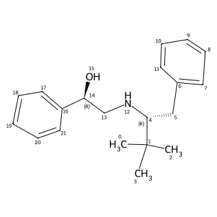 CC(C)(C)[C@@H](Cc1ccccc1)NC[C@H](O)c1ccccc1